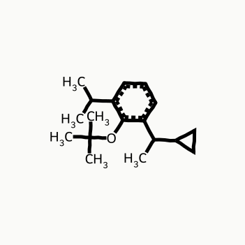 CC(C)c1cccc(C(C)C2CC2)c1OC(C)(C)C